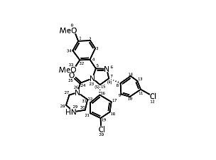 COc1ccc(C2=N[C@H](c3ccc(Cl)cc3)[C@H](c3ccc(Cl)cc3)N2C(=O)N2CCNCC2)c(OC)c1